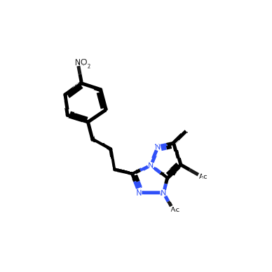 CC(=O)c1c(C)nn2c(CCCc3ccc([N+](=O)[O-])cc3)nn(C(C)=O)c12